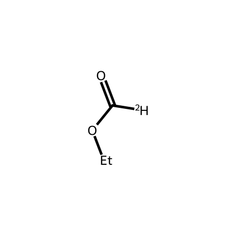 [2H]C(=O)OCC